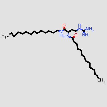 CCCCCCCCCCCCCCNC(=O)C(CCNC(=N)N)NC(=O)CCCCCCCCCCCCC